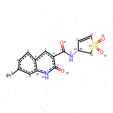 CC(C)c1ccc2cc(C(=O)N[C@@H]3C=CS(=O)(=O)C3)c(=O)[nH]c2c1